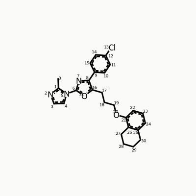 Cc1nccn1-c1nc(-c2ccc(Cl)cc2)c(CCCOc2cccc3c2CCCC3)o1